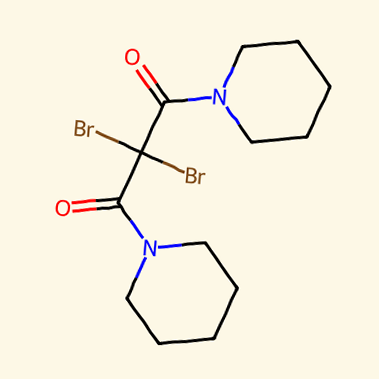 O=C(N1CCCCC1)C(Br)(Br)C(=O)N1CCCCC1